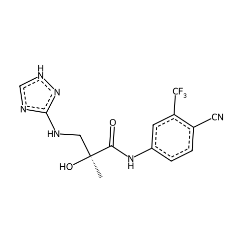 C[C@](O)(CNc1nc[nH]n1)C(=O)Nc1ccc(C#N)c(C(F)(F)F)c1